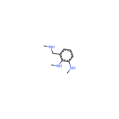 CNCc1cccc(NC)c1NC